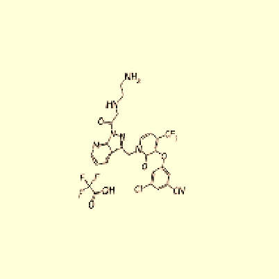 N#Cc1cc(Cl)cc(Oc2c(C(F)(F)F)ccn(Cc3nn(C(=O)CNCCN)c4ncccc34)c2=O)c1.O=C(O)C(F)(F)F